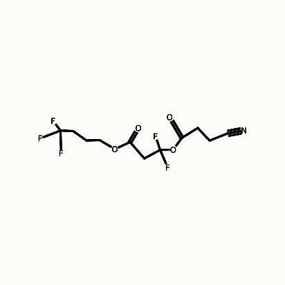 N#CCCC(=O)OC(F)(F)CC(=O)OCCCC(F)(F)F